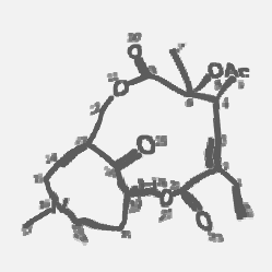 C=C/C1=C/[C@H](C)[C@](C)(OC(C)=O)C(=O)OC/C2=C/CN(C)CC[C@@H](OC1=O)C2=O